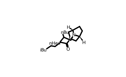 CCCCCCC(CCCC)CN1[C@@H]2CC[C@H]1CN(C(=O)CCCC(C)CC)C2